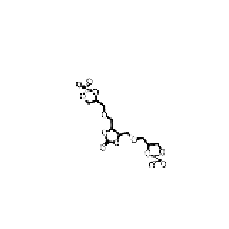 O=C1OC(COCC2COS(=O)(=O)O2)C(COCC2COS(=O)(=O)O2)O1